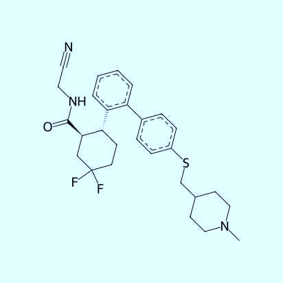 CN1CCC(CSc2ccc(-c3ccccc3[C@@H]3CCC(F)(F)C[C@H]3C(=O)NCC#N)cc2)CC1